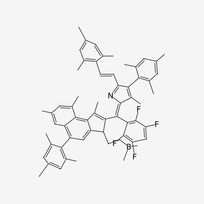 CB(C)CCC1C(/C(=C2N=C(/C=C/c3c(C)cc(C)cc3C)C(c3c(C)cc(C)cc3C)=C\2C)c2c(F)c(F)cc(F)c2F)=C(C)c2c1cc(-c1c(C)cc(C)cc1C)c1cc(C)cc(C)c21